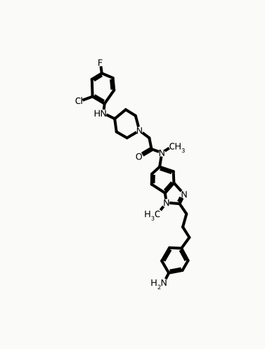 CN(C(=O)CN1CCC(Nc2ccc(F)cc2Cl)CC1)c1ccc2c(c1)nc(CCCc1ccc(N)cc1)n2C